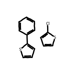 Clc1cc[c]s1.[c]1ccc(-c2ccccc2)s1